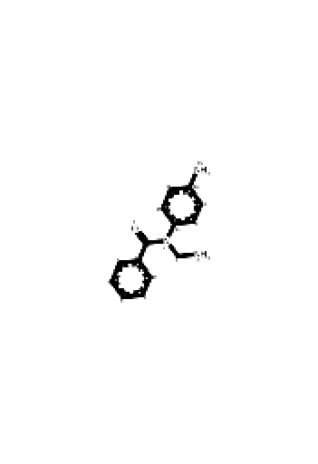 NCN(C(=O)c1ccccc1)c1ccc(N)cc1